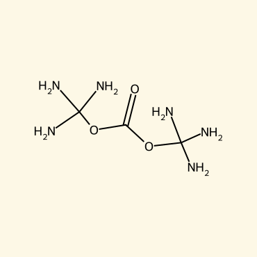 NC(N)(N)OC(=O)OC(N)(N)N